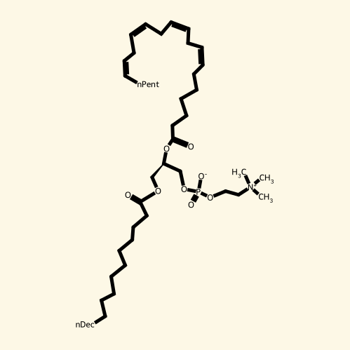 CCCCC/C=C\C/C=C\C/C=C\C/C=C\CCCCCC(=O)O[C@H](COC(=O)CCCCCCCCCCCCCCCCCCC)COP(=O)([O-])OCC[N+](C)(C)C